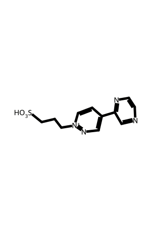 O=S(=O)(O)CCC[n+]1ccc(-c2cnccn2)cn1